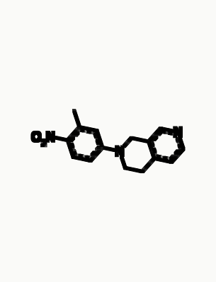 Cc1cc(N2CCc3ccncc3C2)ccc1[N+](=O)[O-]